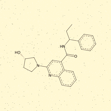 CCC(NC(=O)c1cc(N2CC[C@H](O)C2)nc2ccccc12)c1ccccc1